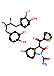 C[C@H](Cc1ccc(O)c(O)c1)[C@@H](C)Cc1ccc(O)c(O)c1.NC(=O)N1C(=O)C(C(=O)c2cccs2)c2cc(Cl)ccc21